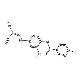 COc1cc(NN=C(C#N)C#N)ccc1NC(=O)c1cnc(C)cn1